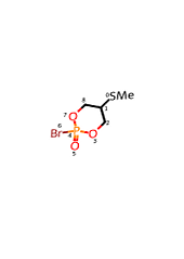 CSC1COP(=O)(Br)OC1